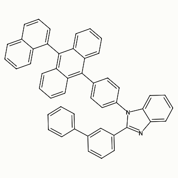 c1ccc(-c2cccc(-c3nc4ccccc4n3-c3ccc(-c4c5ccccc5c(-c5cccc6ccccc56)c5ccccc45)cc3)c2)cc1